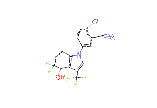 N#Cc1cc(-n2cc(C(F)(F)F)c3c2CCC(F)(F)C3O)ccc1Cl